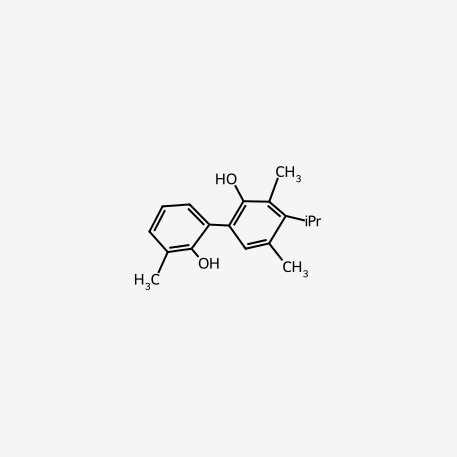 Cc1cccc(-c2cc(C)c(C(C)C)c(C)c2O)c1O